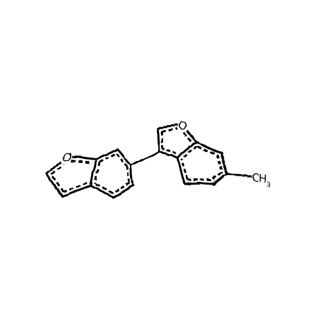 Cc1ccc2c(-c3ccc4ccoc4c3)coc2c1